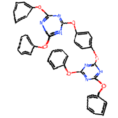 c1ccc(Oc2nc(Oc3ccccc3)nc(Oc3ccc(Oc4nc(Oc5ccccc5)nc(Oc5ccccc5)n4)cc3)n2)cc1